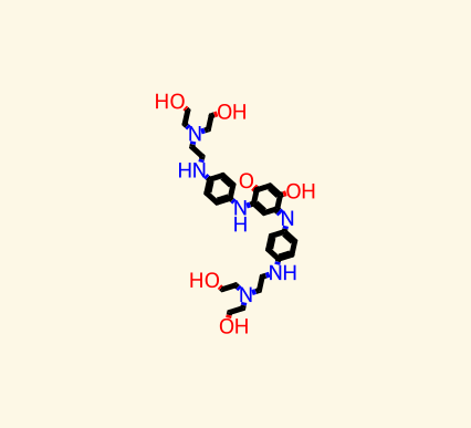 O=C1C=C(O)/C(=N/c2ccc(NCCN(CCO)CCO)cc2)C=C1Nc1ccc(NCCN(CCO)CCO)cc1